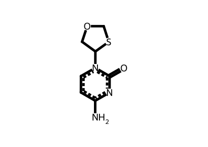 Nc1ccn(C2COCS2)c(=O)n1